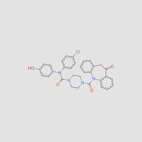 O=C1Cc2ccccc2N(C(=O)N2CCN(C(=O)N(c3ccc(O)cc3)c3ccc(Cl)cc3)CC2)c2ccccc21